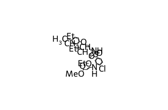 CCOC(=CC(=O)OC)Nc1cc(S(=O)(=O)NCCCOc2ccc(C(C)(C)CC)cc2C(C)(C)CC)ccc1Cl